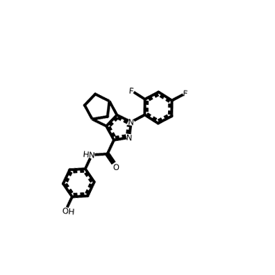 O=C(Nc1ccc(O)cc1)c1nn(-c2ccc(F)cc2F)c2c1C1CCC2C1